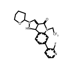 O=C1C2=CN(C3CCCCO3)NC2c2ccc(-c3cccnc3F)cc2N1CC(F)(F)F